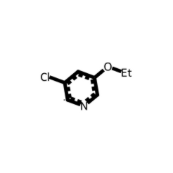 CCOc1cn[c]c(Cl)c1